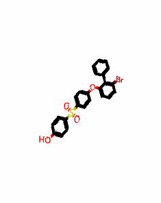 O=S(=O)(c1ccc(O)cc1)c1ccc(Oc2cccc(Br)c2-c2ccccc2)cc1